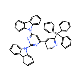 c1ccc([Si](c2ccccc2)(c2ccccc2)c2cc(-c3cc(-n4c5ccccc5c5ccccc54)nc(-n4c5ccccc5c5ccccc54)n3)ccn2)cc1